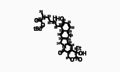 CCC1(O)C(=O)OCc2c1cc1n(c2=O)Cc2cc3c(CNCCN(C)C(=O)OC(C)(C)C)c(O)ccc3nc2-1